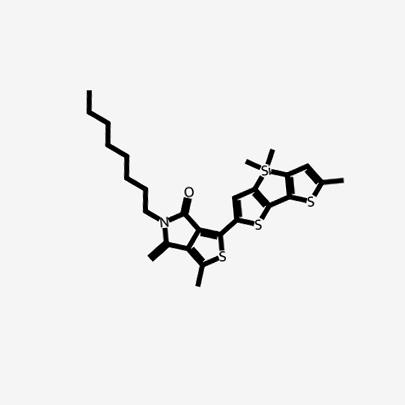 C=C1c2c(C)sc(-c3cc4c(s3)-c3sc(C)cc3[Si]4(C)C)c2C(=O)N1CCCCCCCC